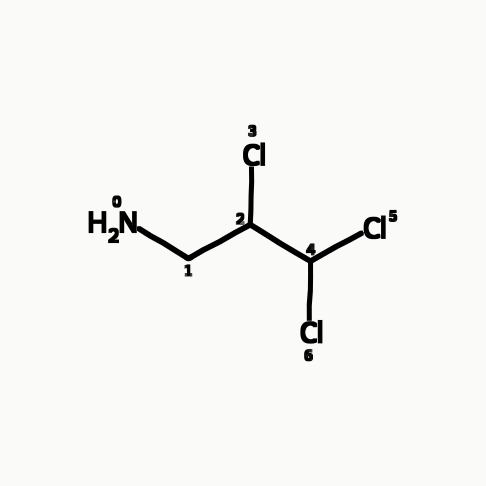 NCC(Cl)C(Cl)Cl